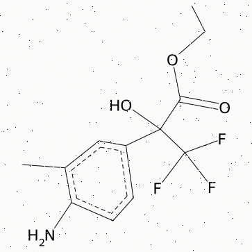 CCOC(=O)C(O)(c1ccc(N)c(C)c1)C(F)(F)F